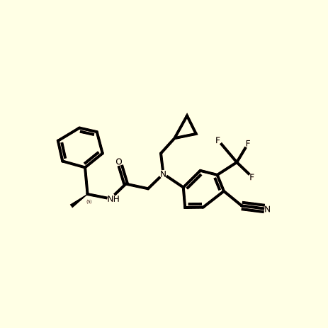 C[C@H](NC(=O)CN(CC1CC1)c1ccc(C#N)c(C(F)(F)F)c1)c1ccccc1